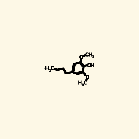 [CH2]CC[CH]c1cc(OC)c(O)c(OC)c1